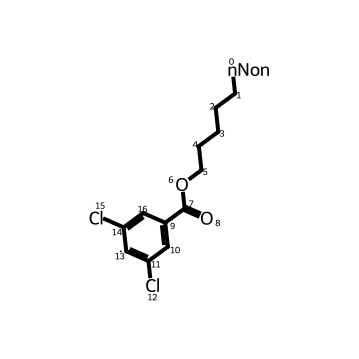 CCCCCCCCCCCCCCOC(=O)c1cc(Cl)[c]c(Cl)c1